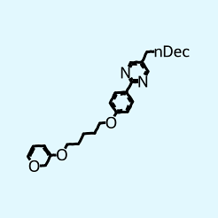 CCCCCCCCCCCc1cnc(-c2ccc(OCCCCCOC3=CC=COC3)cc2)nc1